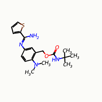 CN(C)c1ccc(N=C(N)c2cccs2)cc1COC(=O)NC(C)(C)C